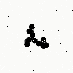 c1ccc(-c2cccc3c2sc2ccc(N(c4ccc(-c5ccc6c7ccc8ccccc8c7n(-c7ccccc7)c6c5)cc4)c4ccc5sc6ccccc6c5c4)cc23)cc1